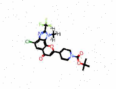 [2H]C([2H])([2H])n1c(C(F)(F)F)nc2c(Cl)cc3c(=O)cc(C4CCN(C(=O)OC(C)(C)C)CC4)oc3c21